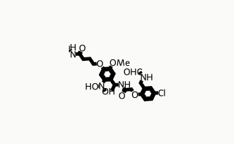 COc1cc(C(C)NC(=O)COc2ccc(Cl)cc2CNC=O)c(N(O)O)cc1OCCCC(=O)NI